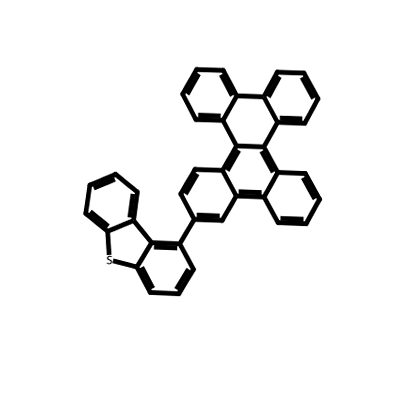 c1ccc2c(c1)sc1cccc(-c3ccc4c(c3)c3ccccc3c3c5ccccc5c5ccccc5c43)c12